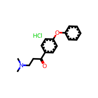 CN(C)CCC(=O)c1ccc(Oc2ccccc2)cc1.Cl